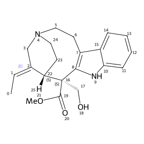 C/C=C1/CN2CCc3c([nH]c4ccccc34)[C@@](CO)(C(=O)OC)[C@H]1CC2